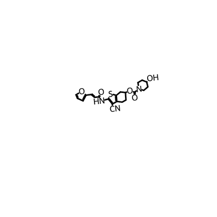 N#Cc1c(NC(=O)C=Cc2ccco2)sc2c1CCC(OC(=O)N1CCC(O)CC1)C2